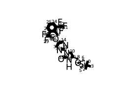 CC(C)(C)[Si](C)(C)OC[C@@H]1CN(c2ncc(OCc3c(C(F)(F)F)cccc3C(F)(F)F)cn2)C(=O)N1